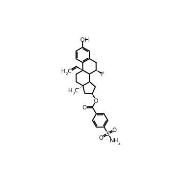 C=C[C@]12CC[C@]3(C)C[C@H](OC(=O)c4ccc(S(N)(=O)=O)cc4)CC3C1[C@H](F)Cc1cc(O)ccc12